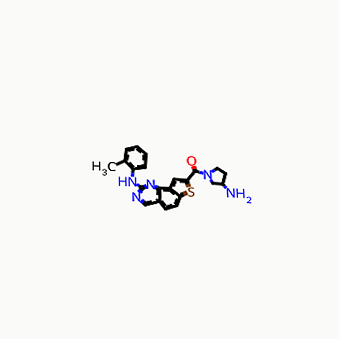 Cc1ccccc1Nc1ncc2ccc3sc(C(=O)N4CCC(N)C4)cc3c2n1